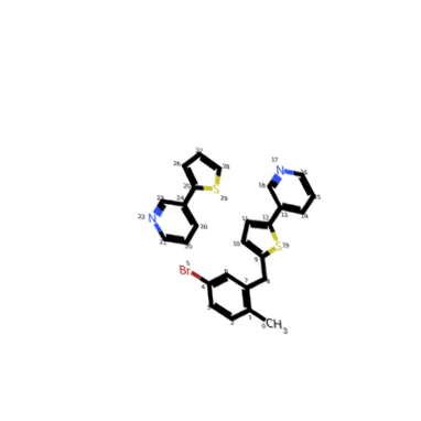 Cc1ccc(Br)cc1Cc1ccc(-c2cccnc2)s1.c1cncc(-c2cccs2)c1